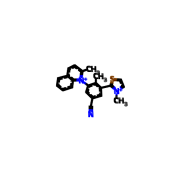 Cc1c(-c2scc[n+]2C)cc(C#N)cc1-[n+]1c(C)ccc2ccccc21